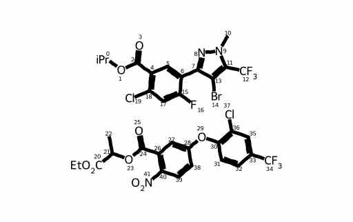 CC(C)OC(=O)c1cc(-c2nn(C)c(C(F)(F)F)c2Br)c(F)cc1Cl.CCOC(=O)C(C)OC(=O)c1cc(Oc2ccc(C(F)(F)F)cc2Cl)ccc1[N+](=O)[O-]